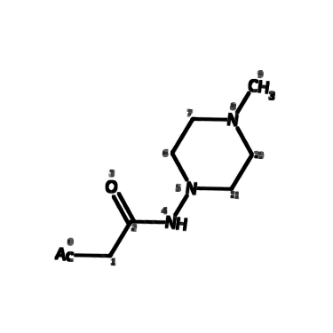 CC(=O)CC(=O)NN1CCN(C)CC1